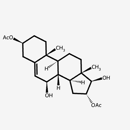 CC(=O)O[C@H]1CC[C@@]2(C)C(=C[C@H](O)[C@H]3[C@@H]4C[C@@H](OC(C)=O)[C@H](O)[C@@]4(C)CC[C@@H]32)C1